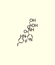 O=C(NO[C@@H](O)CO)c1ccncc1Nc1ccc(I)cc1F